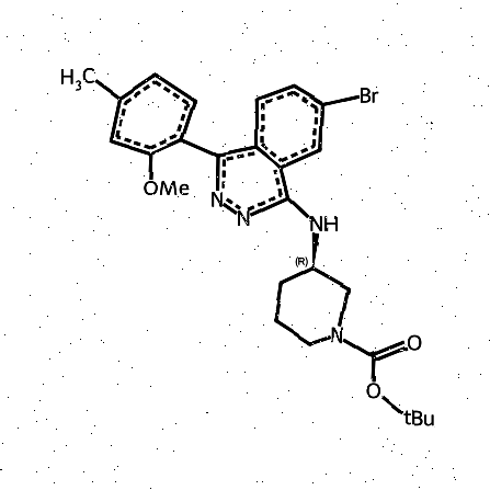 COc1cc(C)ccc1-c1nnc(N[C@@H]2CCCN(C(=O)OC(C)(C)C)C2)c2cc(Br)ccc12